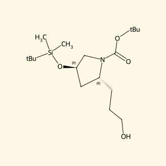 CC(C)(C)OC(=O)N1C[C@H](O[Si](C)(C)C(C)(C)C)C[C@H]1CCCO